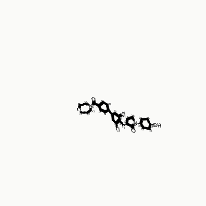 O=C(c1ccc(-c2cc(Cl)c(C[C@@H]3CCN([C@H]4CC[C@@H](O)CC4)C3=O)c(Cl)c2)cc1)N1CCCOCC1